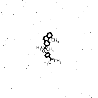 CCC(C)c1ccc(OC(C)(C)c2ccc3c(ccc4cccc(C)c43)c2)cc1